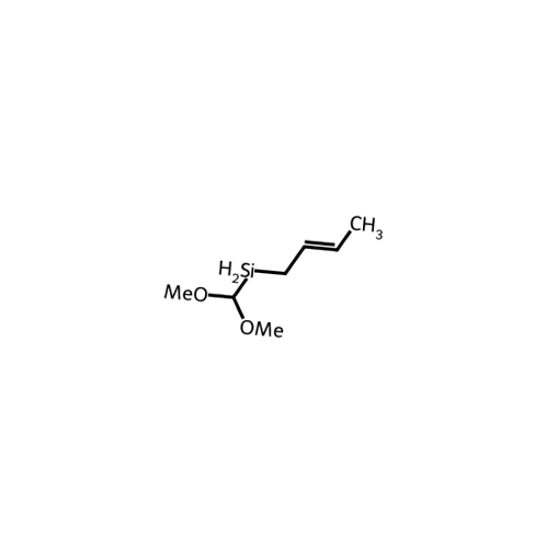 CC=CC[SiH2]C(OC)OC